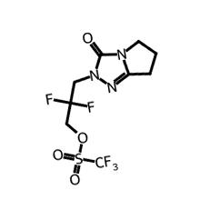 O=c1n(CC(F)(F)COS(=O)(=O)C(F)(F)F)nc2n1CCC2